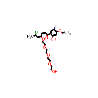 C=C(Cl)/C=C(\C=C/C(=O)c1cc(I)c(OCC)cc1O)OCCOCCOCCOCCO